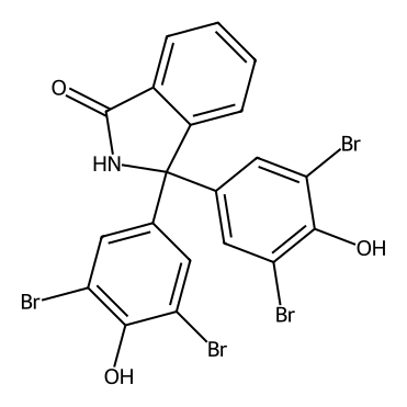 O=C1NC(c2cc(Br)c(O)c(Br)c2)(c2cc(Br)c(O)c(Br)c2)c2ccccc21